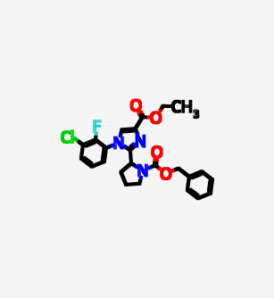 CCOC(=O)c1cn(-c2cccc(Cl)c2F)c(C2CCCN2C(=O)OCc2ccccc2)n1